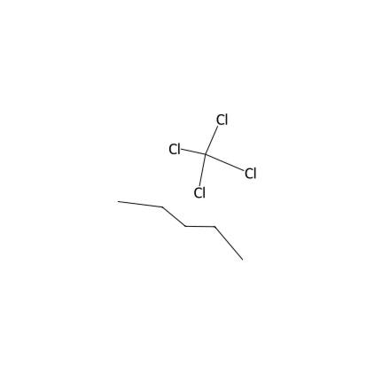 CCCCC.ClC(Cl)(Cl)Cl